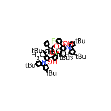 CC(C)(C)CC(C)(C)c1cc(-c2cccc(F)c2OCC(COc2c(F)cccc2-c2cc(C(C)(C)CC(C)(C)C)cc(-n3c4ccc(C(C)(C)C)cc4c4cc(C(C)(C)C)ccc43)c2O)Cc2ccccc2)c(O)c(-n2c3ccc(C(C)(C)C)cc3c3cc(C(C)(C)C)ccc32)c1